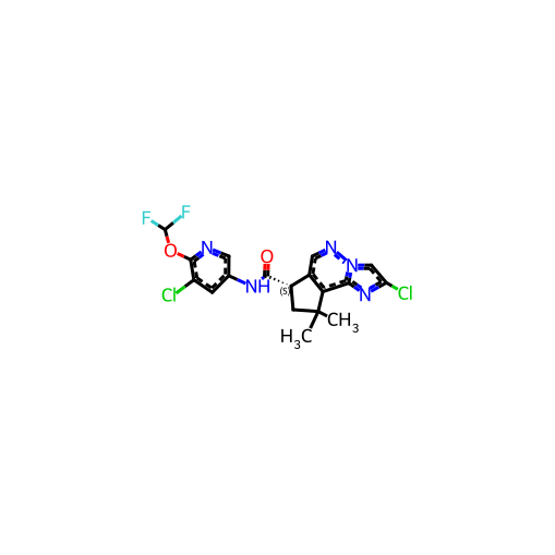 CC1(C)C[C@H](C(=O)Nc2cnc(OC(F)F)c(Cl)c2)c2cnn3cc(Cl)nc3c21